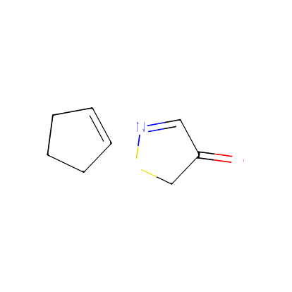 C1=CCCC1.O=C1C=NSC1